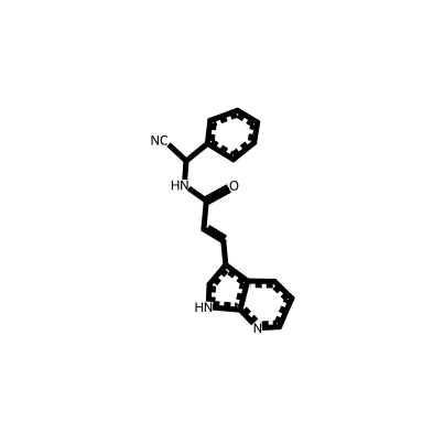 N#CC(NC(=O)C=Cc1c[nH]c2ncccc12)c1ccccc1